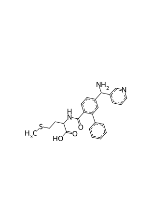 CSCCC(NC(=O)c1ccc(C(N)c2cccnc2)cc1-c1ccccc1)C(=O)O